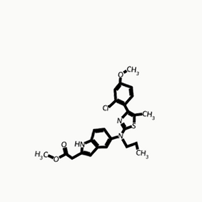 CCCN(c1ccc2[nH]c(CC(=O)OC)cc2c1)c1nc(-c2ccc(OC)cc2Cl)c(C)s1